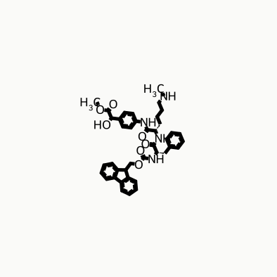 CNCCCC[C@H](NC(=O)[C@H](Cc1ccccc1)NC(=O)OCC1c2ccccc2-c2ccccc21)C(=O)Nc1ccc(C(O)C(=O)OC)cc1